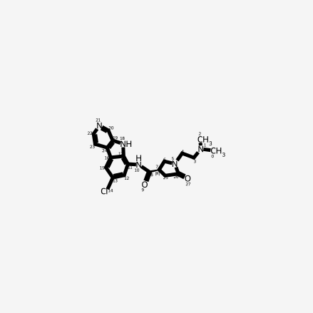 CN(C)CCN1C[C@H](C(=O)Nc2cc(Cl)cc3c2[nH]c2cnccc23)CC1=O